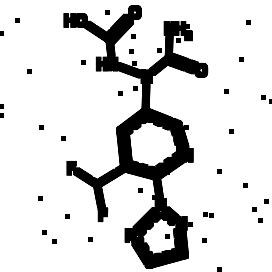 NC(=O)N(NC(=O)O)c1cnc(-n2nccn2)c(C(F)F)c1